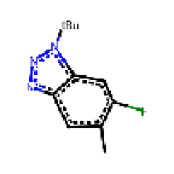 Cc1cc2nnn(C(C)(C)C)c2cc1F